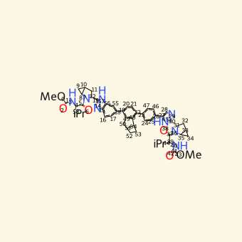 COC(=O)NC(C(=O)N1C2CC2C[C@H]1c1nc2ccc(-c3ccc(-c4ccc(-c5cnc([C@@H]6CC7CC7N6C(=O)[C@@H](NC(=O)OC)C(C)C)[nH]5)cc4)c4c3CC3CCC43)cc2[nH]1)C(C)C